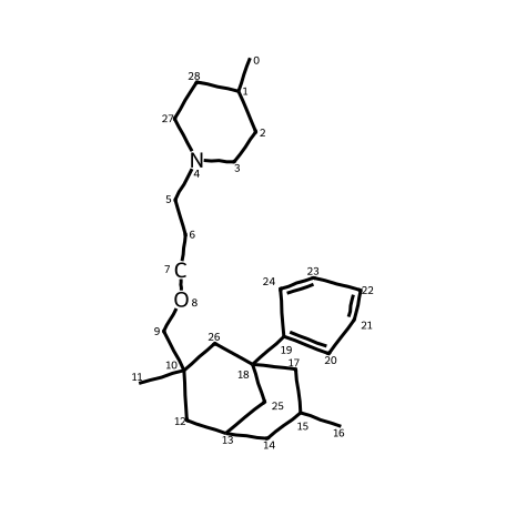 CC1CCN(CCCOCC2(C)CC3CC(C)CC(c4ccccc4)(C3)C2)CC1